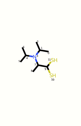 CC(C)N(C(C)C)C(C)C(S)S